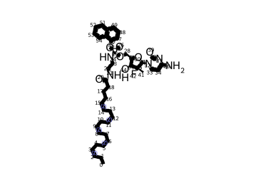 CC/C=C\C/C=C\C/C=C\C/C=C\C/C=C\CCCC(=O)NCCNP(=O)(OC[C@H]1O[C@@H](n2ccc(N)nc2=O)[C@](C)(F)[C@@H]1O)Oc1cccc2ccccc12